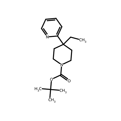 CCC1(c2ccccn2)CCN(C(=O)OC(C)(C)C)CC1